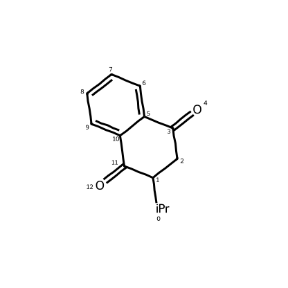 CC(C)C1CC(=O)c2ccccc2C1=O